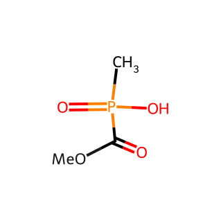 COC(=O)P(C)(=O)O